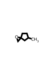 CC1CCC2(CO2)C1